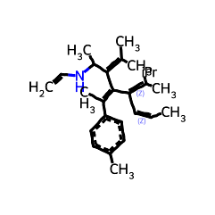 C=CNC(C)C(=C(C)C)C(=C(C)c1ccc(C)cc1)C(/C=C\C)=C(/C)C(C)C